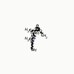 C=CCOc1cc([C@@H](CCC)NC(=O)C2CSC(/C(C)=N/OCCCCO)=N2)oc(=O)c1